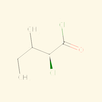 CCC(C)[C@H](Cl)C(=O)Cl